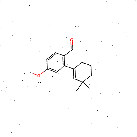 COc1ccc(C=O)c(C2=CC(C)(C)CCC2)c1